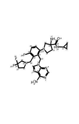 Nc1ncnc2c1ncn2Cc1c(N2CCC(N)(C(=O)NC3CC3)C2)ccc(F)c1CN1CCC(F)(F)C1